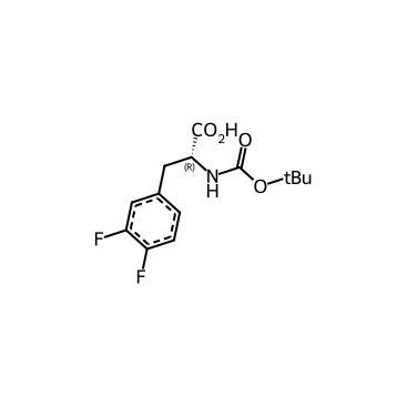 CC(C)(C)OC(=O)N[C@H](Cc1ccc(F)c(F)c1)C(=O)O